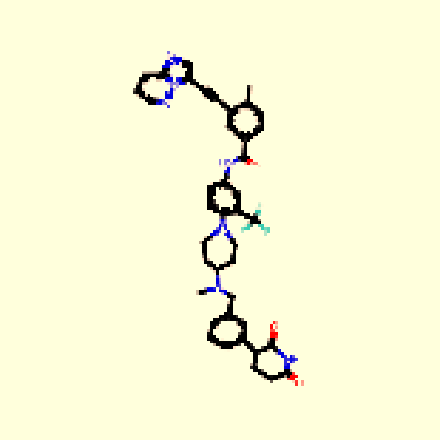 Cc1ccc(C(=O)Nc2ccc(N3CCC(N(C)Cc4cccc(C5CCC(=O)NC5=O)c4)CC3)c(C(F)(F)F)c2)cc1C#Cc1cnc2cccnn12